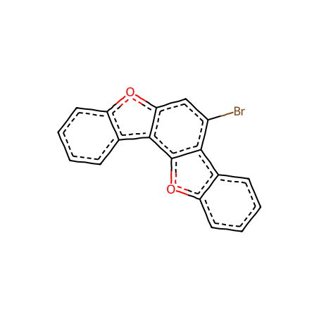 Brc1cc2oc3ccccc3c2c2oc3ccccc3c12